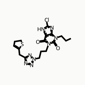 CCCn1c(=O)n(CCCn2nnc(CC3=CCCS3)n2)c(=O)c2[nH]c(Cl)nc21